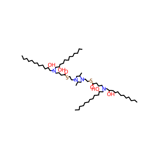 CCCCCCCCCCC(O)CN(CCCC(=O)SCCN1CC(C)N(CCSC(=O)CCCN(CC(O)CCCCCCCCCC)CC(O)CCCCCCCCCC)CC1C)CC(O)CCCCCCCCCC